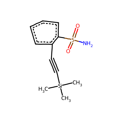 C[Si](C)(C)C#Cc1ccccc1S(N)(=O)=O